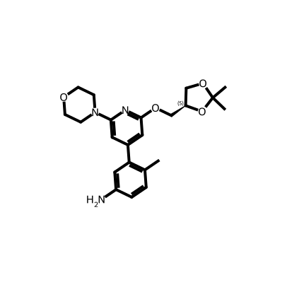 Cc1ccc(N)cc1-c1cc(OC[C@H]2COC(C)(C)O2)nc(N2CCOCC2)c1